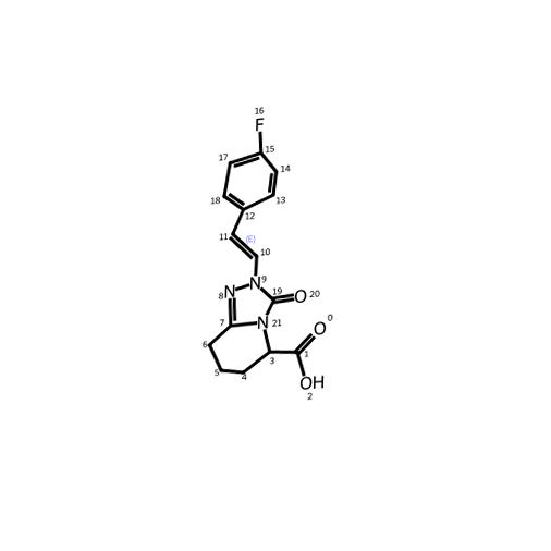 O=C(O)C1CCCc2nn(/C=C/c3ccc(F)cc3)c(=O)n21